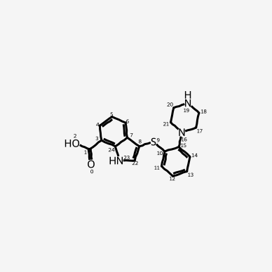 O=C(O)c1cccc2c(Sc3ccccc3N3CCNCC3)c[nH]c12